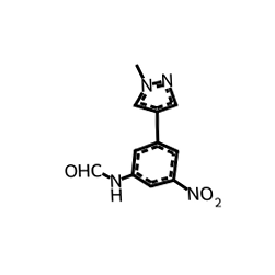 Cn1cc(-c2cc(NC=O)cc([N+](=O)[O-])c2)cn1